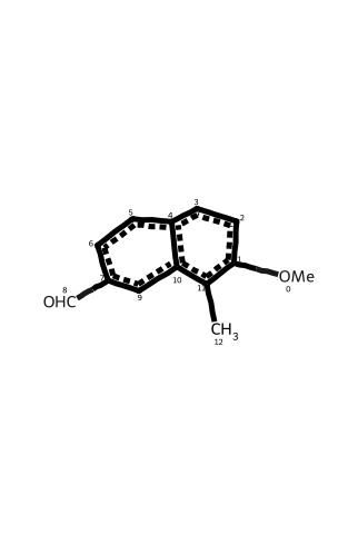 COc1ccc2ccc(C=O)cc2c1C